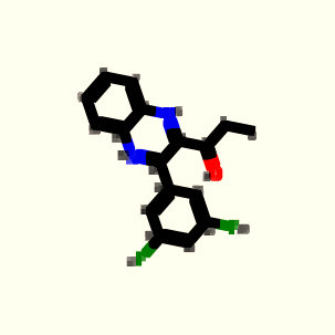 CCC(=O)c1nc2ccccc2nc1-c1cc(F)cc(F)c1